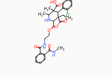 CCC1(C(=O)O)C(COCCNC(=O)c2ccccc2C(=O)NC)NC(C)C(C)(C(=O)O)C1c1ccccc1Cl